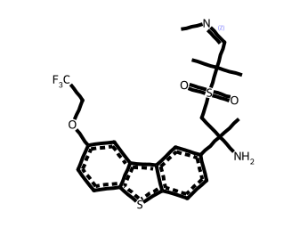 C/N=C\C(C)(C)S(=O)(=O)CC(C)(N)c1ccc2sc3ccc(OCC(F)(F)F)cc3c2c1